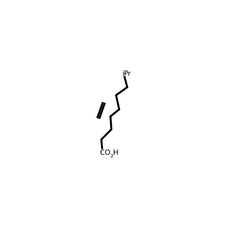 C=C.CC(C)CCCCCCC(=O)O